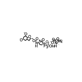 COc1cc(OC)c2oc(COC(=O)Nc3ccn(C4O[C@H](COP(=O)(O)N[C@@H](C)C(=O)N(C)C)[C@@H](O)C4(F)F)c(=O)n3)cc2c1